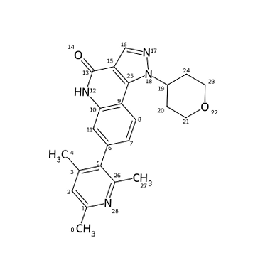 Cc1cc(C)c(-c2ccc3c(c2)[nH]c(=O)c2cnn(C4CCOCC4)c23)c(C)n1